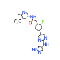 Cc1ncc(NC(=O)Cc2ccc(-c3cnc(Nc4cn[nH]c4)nc3)cc2F)cc1C(F)(F)F